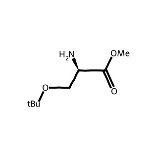 COC(=O)[C@H](N)COC(C)(C)C